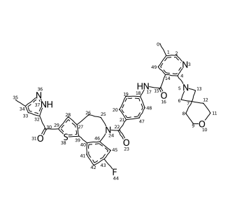 Cc1cnc(N2CC3(CCOCC3)C2)c(C(=O)Nc2ccc(C(=O)N3CCc4cc(C(=O)c5cc(C)n[nH]5)sc4-c4ccc(F)cc43)cc2)c1